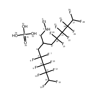 CCNCC(CC(F)(F)C(F)(F)C(F)(F)C(F)F)CC(F)(F)C(F)(F)C(F)(F)C(F)F.O=P(O)(O)O